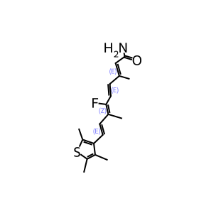 CC(/C=C/c1c(C)sc(C)c1C)=C(F)\C=C\C(C)=C\C(N)=O